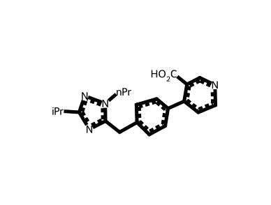 CCCn1nc(C(C)C)nc1Cc1ccc(-c2ccncc2C(=O)O)cc1